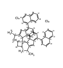 CC(C)C1=Cc2c(-c3cccc4ccccc34)cccc2[CH]1[Ti+2]1([CH]2C(C(C)C)=Cc3c(-c4cccc5ccccc45)cccc32)[CH2]C[CH2]1.[Cl-].[Cl-]